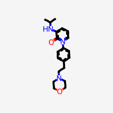 CC(C)Nc1cccn(-c2ccc(CCN3CCOCC3)cc2)c1=O